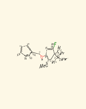 [CH2]C1([Si](C(C)C)(C(C)C)C(C)C)CC(OC)=C(OCc2ccccc2)C=C1F